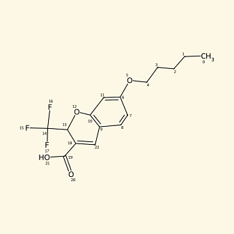 CCCCCOc1ccc2c(c1)OC(C(F)(F)F)C(C(=O)O)=C2